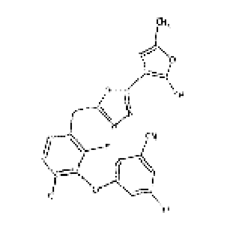 Cc1cc(-c2nnc(Cc3ccc(Cl)c(Oc4cc(Cl)cc(C#N)c4)c3F)o2)c(C)o1